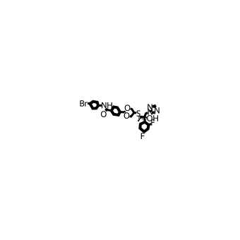 C[C@@H](SC1COC(c2ccc(C(=O)Nc3ccc(Br)cc3)cc2)OC1)[C@](O)(Cn1cncn1)c1ccc(F)cc1F